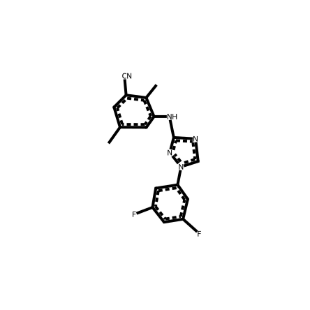 Cc1cc(C#N)c(C)c(Nc2ncn(-c3cc(F)cc(F)c3)n2)c1